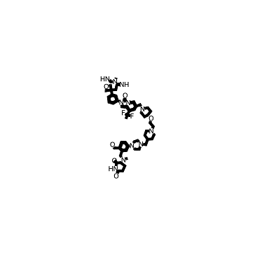 CN(C=N)C(=N)CC1(c2cccc(-n3cc4c(C(C)(F)F)cc(CN5CCC(OCCN6CCC(CN7CCN(c8ccc(C=O)c(CN(C)C9CCC(=O)NC9=O)c8)CC7)CC6)CC5)cn4c3=O)c2)COC1